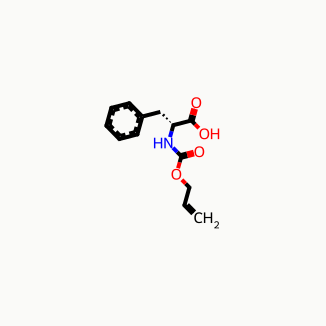 C=CCOC(=O)N[C@H](Cc1ccccc1)C(=O)O